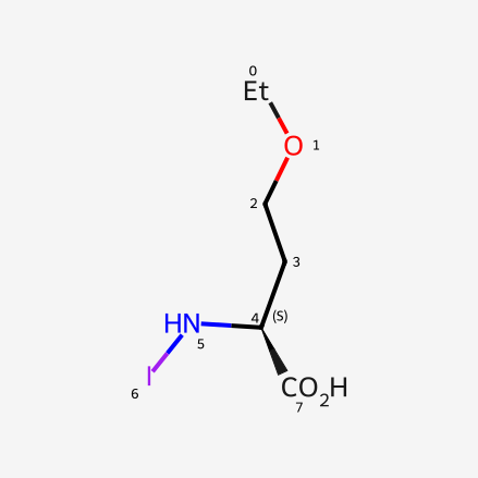 CCOCC[C@H](NI)C(=O)O